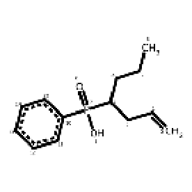 C=CCC(CCC)P(=O)(O)c1ccccc1